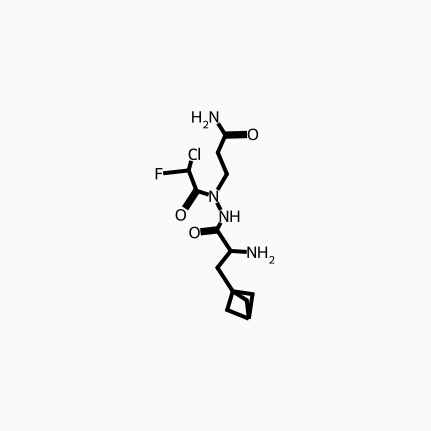 NC(=O)CCN(NC(=O)C(N)CC12CC(C1)C2)C(=O)C(F)Cl